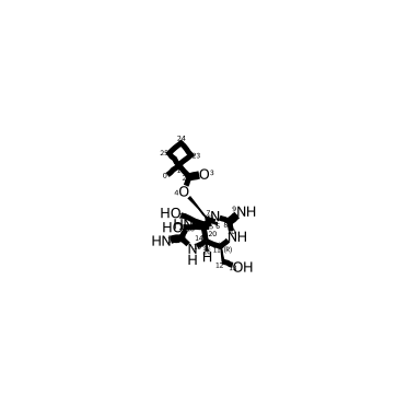 CC1(C(=O)O[C@H]2CN3C(=N)N[C@@H](CO)[C@@H]4NC(=N)N[C@@]43C2(O)O)CCC1